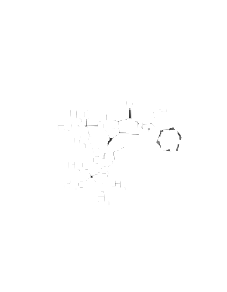 C[C@H](c1ccccc1)N1C[C@@](CCO[Si](C)(C)C(C)(C)C)(C(=O)OC(C)(C)C)C(F)C1=O